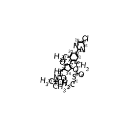 CCSC(=O)OC1=C(c2c(C)cc(-c3ncc(Cl)cn3)cc2C)C(=O)C(CC(=O)NC(C)(C)C)C1